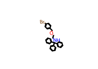 Brc1ccc(COCCNC(c2ccccc2)(c2ccccc2)c2ccccc2)cc1